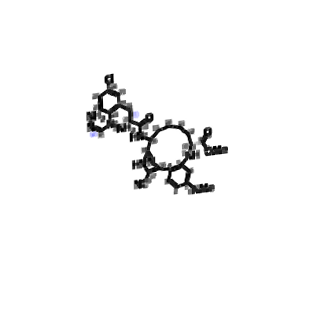 CNc1ccc2c(c1)N[C@@H](C(=O)OC)CCCCC(NC(=O)/C=C/c1cc(Cl)ccc1N(N)/C=N\N)c1nc-2c(C#N)[nH]1